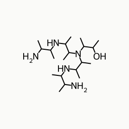 CC(N)C(C)NC(C)C(C)N(C(C)C(C)O)C(C)C(C)NC(C)C(C)N